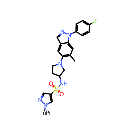 CCCn1cc(S(=O)(=O)NC2CCN(c3cc4cnn(-c5ccc(F)cc5)c4cc3C)C2)cn1